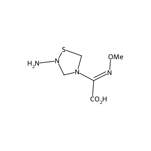 CO/N=C(/C(=O)O)N1CSN(N)C1